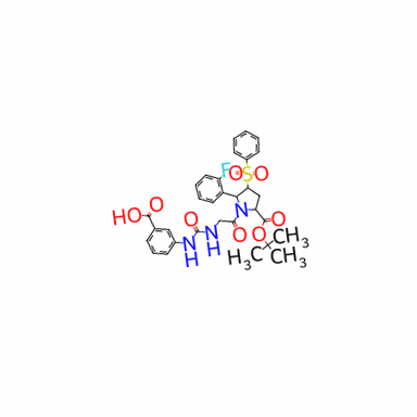 CC(C)(C)OC(=O)C1CC(S(=O)(=O)c2ccccc2)C(c2ccccc2F)N1C(=O)CNC(=O)Nc1cccc(C(=O)O)c1